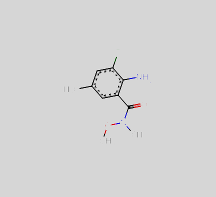 CON(C)C(=O)c1cc(C)cc(F)c1N